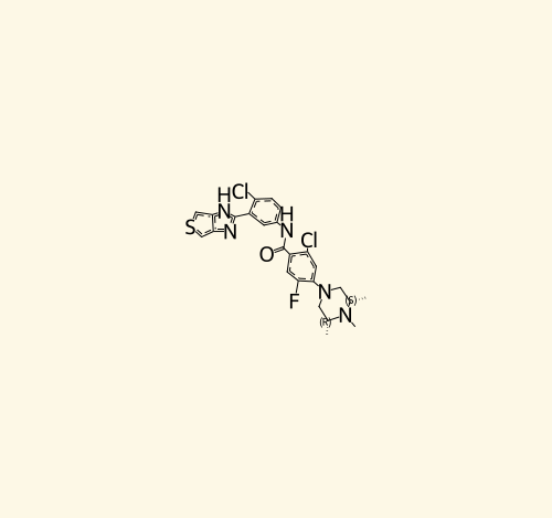 C[C@@H]1CN(c2cc(Cl)c(C(=O)Nc3ccc(Cl)c(-c4nc5cscc5[nH]4)c3)cc2F)C[C@H](C)N1C